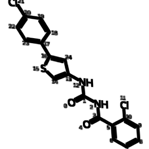 O=C(NC(=O)c1ccccc1Cl)Nc1csc(-c2ccc(Cl)cc2)c1